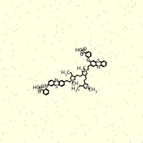 CCC1CN(C)CC1CCC1C[N+](C)(CCc2cc3nc4ccccc4sc-3c/c2=N\c2cccc(S(=O)(=O)O)c2)CC1CCC1C[N+](C)(CCc2ccc3sc4c/c(=N\c5ccccc5S(=O)(=O)O)ccc-4nc3c2)CC1CC